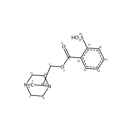 O=C(OCC1CN2CCN1CC2)c1ccccc1S(=O)(=O)O